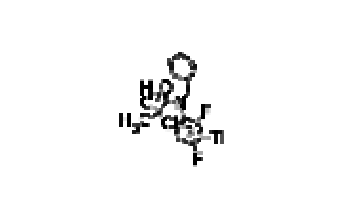 CC(C)(C)C(=O)N(Cc1ccccc1)c1ccc(F)[c]([Ti])c1F